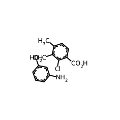 Cc1ccc(C(=O)O)c(Cl)c1C(=O)O.Nc1cccc(O)c1